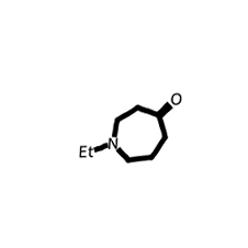 [CH2]CN1CCCC(=O)CC1